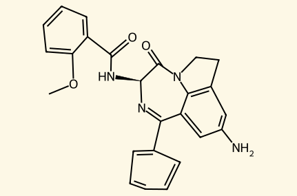 COc1ccccc1C(=O)N[C@@H]1N=C(c2ccccc2)c2cc(N)cc3c2N(CC3)C1=O